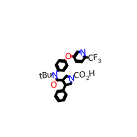 CC(C)(C)N(C(=O)C1CN(C(=O)O)CC1c1ccccc1)c1ccc(Oc2ccc(C(F)(F)F)nc2)cc1